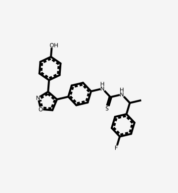 CC(NC(=S)Nc1ccc(-c2conc2-c2ccc(O)cc2)cc1)c1ccc(F)cc1